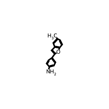 Cc1ccc2oc(-c3ccc(N)cc3)cc2c1